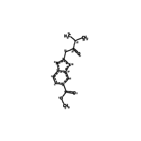 COC(=O)c1ccc2nc(CC(=O)C(C)C)sc2c1